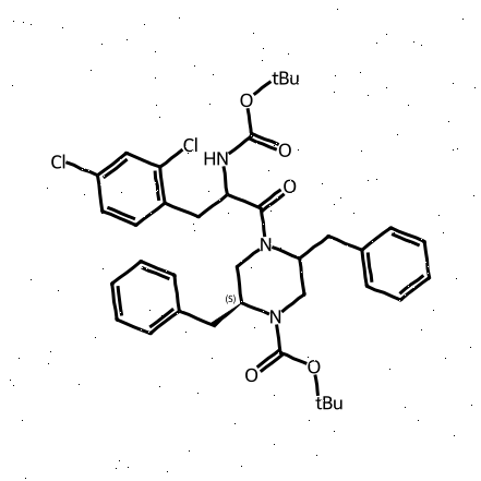 CC(C)(C)OC(=O)NC(Cc1ccc(Cl)cc1Cl)C(=O)N1C[C@H](Cc2ccccc2)N(C(=O)OC(C)(C)C)CC1Cc1ccccc1